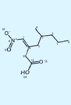 CCCC(C)CC(=C[N+](=O)[O-])CC(=O)O